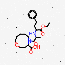 CCOC(=O)C(CCc1ccccc1)N[C@@H](C)C(=O)N1CCCCCOCCC1C(=O)O